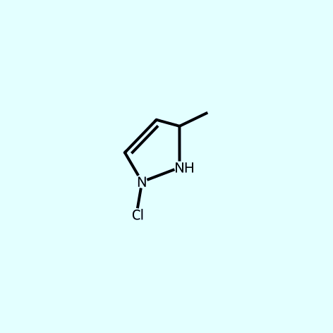 CC1C=CN(Cl)N1